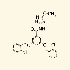 COc1nnc(NC(=O)c2cc(OCc3ccccc3Cl)cc(OCc3ccccc3Cl)c2)s1